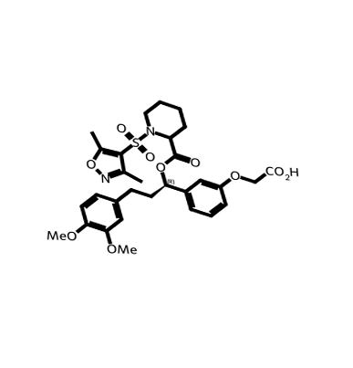 COc1ccc(CC[C@@H](OC(=O)C2CCCCN2S(=O)(=O)c2c(C)noc2C)c2cccc(OCC(=O)O)c2)cc1OC